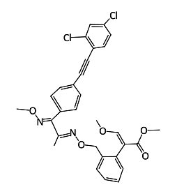 CO/C=C(/C(=O)OC)c1ccccc1CO/N=C(C)/C(=N/OC)c1ccc(C#Cc2ccc(Cl)cc2Cl)cc1